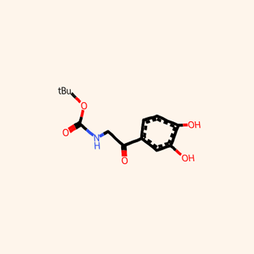 CC(C)(C)OC(=O)NCC(=O)c1ccc(O)c(O)c1